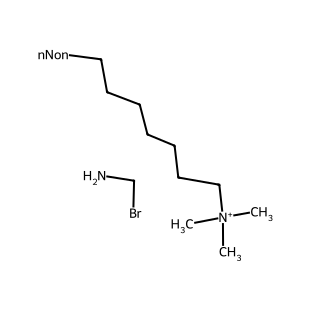 CCCCCCCCCCCCCCCC[N+](C)(C)C.NCBr